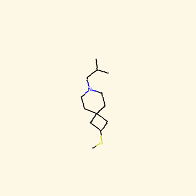 CSC1CC2(CCN(CC(C)C)CC2)C1